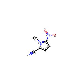 Cn1c(C#N)ccc1[N+](=O)[O-]